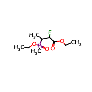 CCOC(=O)C(F)C(C)P(C)(=O)OCC